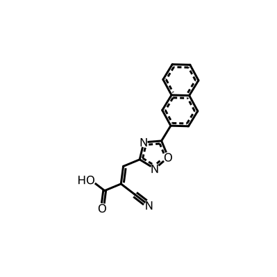 N#C/C(=C\c1noc(-c2ccc3ccccc3c2)n1)C(=O)O